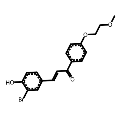 COCCOc1ccc(C(=O)C=Cc2ccc(O)c(Br)c2)cc1